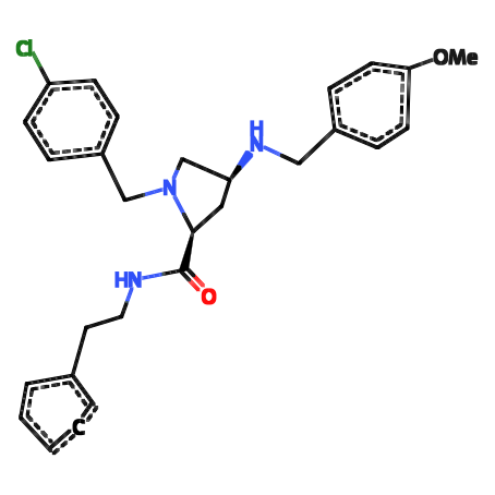 COc1ccc(CN[C@H]2C[C@@H](C(=O)NCCc3ccccc3)N(Cc3ccc(Cl)cc3)C2)cc1